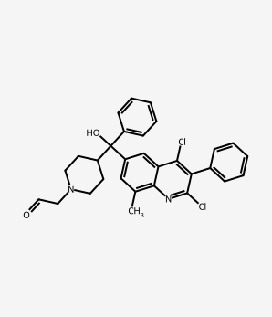 Cc1cc(C(O)(c2ccccc2)C2CCN(CC=O)CC2)cc2c(Cl)c(-c3ccccc3)c(Cl)nc12